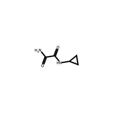 NC(=O)C(=O)NC1CC1